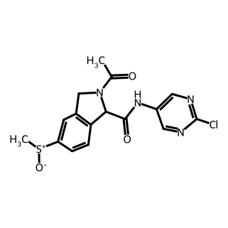 CC(=O)N1Cc2cc([S+](C)[O-])ccc2C1C(=O)Nc1cnc(Cl)nc1